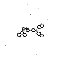 CN(c1ccc(-c2ccc(N(c3ccc4ccccc4c3)c3ccc4ccccc4c3)cc2)cc1)c1cc2ccccc2c2ccccc12